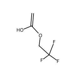 C=C(O)OCC(F)(F)F